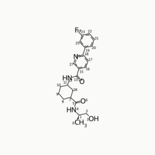 C[C@H](CO)NC(=O)C1CCCC(NC(=O)c2ccc(-c3cccc(F)c3)nc2)C1